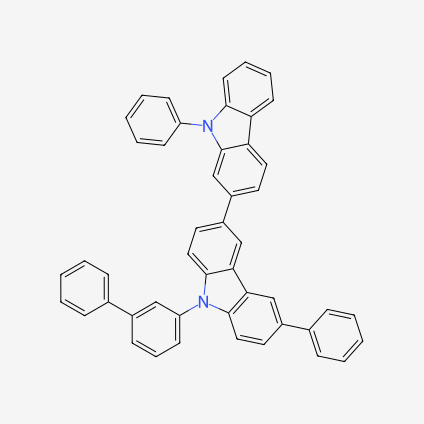 c1ccc(-c2cccc(-n3c4ccc(-c5ccccc5)cc4c4cc(-c5ccc6c7ccccc7n(-c7ccccc7)c6c5)ccc43)c2)cc1